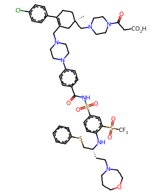 C[C@@]1(CN2CCN(C(=O)CC(=O)O)CC2)CCC(c2ccc(Cl)cc2)=C(CN2CCN(c3ccc(C(=O)NS(=O)(=O)c4ccc(N[C@H](CCN5CCCOCC5)CSc5ccccc5)c(S(=O)(=O)C(F)(F)F)c4)cc3)CC2)C1